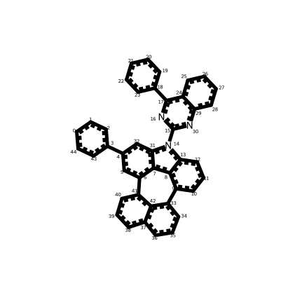 c1ccc(-c2cc3c4c5c(cccc5n(-c5nc(-c6ccccc6)c6ccccc6n5)c4c2)-c2cccc4cccc-3c24)cc1